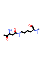 CN[C@H](C=O)CCCCNC(=O)C[C@H](N)C(C)=O